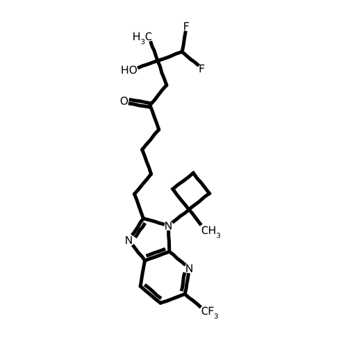 CC(O)(CC(=O)CCCCc1nc2ccc(C(F)(F)F)nc2n1C1(C)CCC1)C(F)F